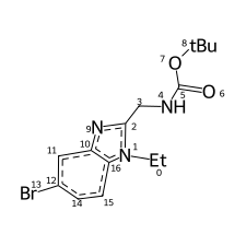 CCn1c(CNC(=O)OC(C)(C)C)nc2cc(Br)ccc21